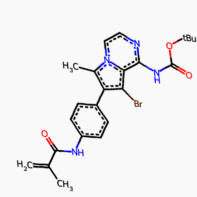 C=C(C)C(=O)Nc1ccc(-c2c(Br)c3c(NC(=O)OC(C)(C)C)nccn3c2C)cc1